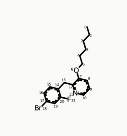 CCCCCCOc1cccnc1Cc1ccc(Br)cc1F